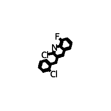 Fc1cccc2cc(Cc3ccccc3Cl)c(Cl)nc12